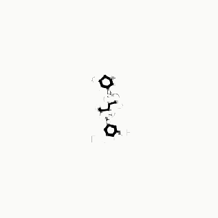 O=C1OB(c2cc(C(F)(F)F)cc(C(F)(F)F)c2)O[C@@H]1[C@H]1OB(c2cc(C(F)(F)F)cc(C(F)(F)F)c2)OC1=O